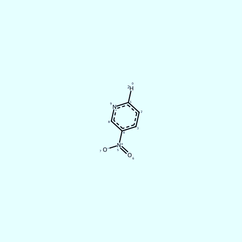 [2H]c1ccc([N+](=O)[O-])cn1